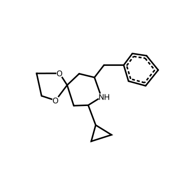 c1ccc(CC2CC3(CC(C4CC4)N2)OCCO3)cc1